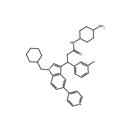 Cc1cccc(C(CC(=O)NC2CCC(N)CC2)c2cn(CC3CCCCC3)c3ccc(-c4ccncc4)cc23)c1